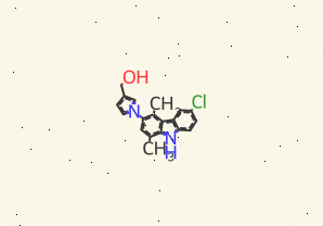 Cc1cc(-n2ccc(CO)c2)c(C)c2c1[nH]c1ccc(Cl)cc12